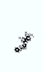 Cc1nnc2sc(C(=O)N3CCC(NC(=O)Oc4ccccc4)C3)c(N)c2c1C